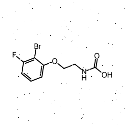 O=C(O)NCCOc1cccc(F)c1Br